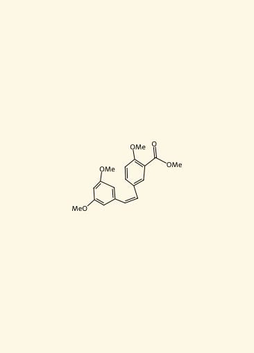 COC(=O)c1cc(/C=C\c2cc(OC)cc(OC)c2)ccc1OC